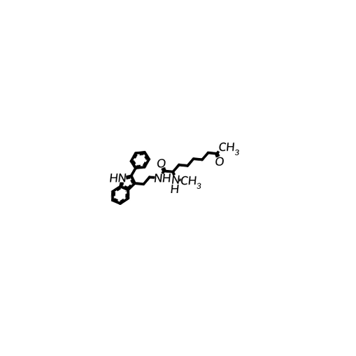 CNC(CCCCCC(C)=O)C(=O)NCCc1c(-c2ccccc2)[nH]c2ccccc12